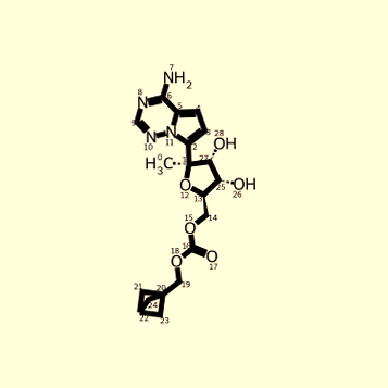 C[C@@]1(c2ccc3c(N)ncnn23)O[C@H](COC(=O)OCC23CC(C2)C3)[C@@H](O)[C@H]1O